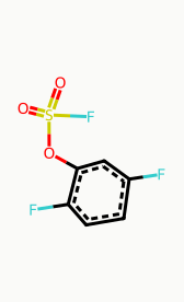 O=S(=O)(F)Oc1cc(F)ccc1F